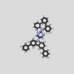 C1=CC2c3ccccc3-c3ccccc3N(c3ncc(N4c5ccc(-c6ccccc6)cc5C5C=C(c6ccccc6)C=CC54)cn3)C2C=C1